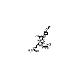 C=CCOc1ccc(C[C@H](NC(=O)C(C)=O)C(=O)N[C@@H](CCCCNC(=N)N)C(=O)N[C@@H](CC=C)C(=O)O)cc1.Cl